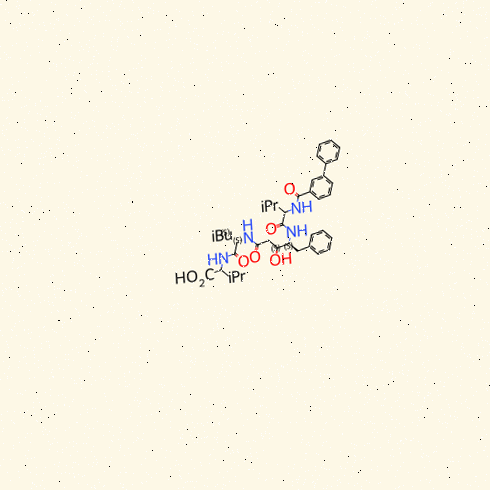 CC[C@H](C)[C@H](NC(=O)C[C@H](O)[C@H](Cc1ccccc1)NC(=O)C(NC(=O)c1cccc(-c2ccccc2)c1)C(C)C)C(=O)NC(C(=O)O)C(C)C